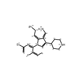 C=C(CC)/N=C(\C(F)=C/C)n1cc(C2CCNCC2)c(=C/N)/c1=C\CC(C)C